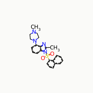 Cc1nc2c(N3CCN(C)CC3)cccc2n1S(=O)(=O)c1cccc2ccccc12